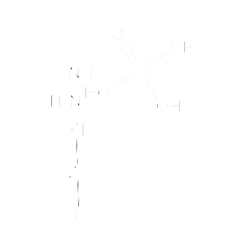 N.N.O=P(O)(O)O.[Cl][Zn][Cl]